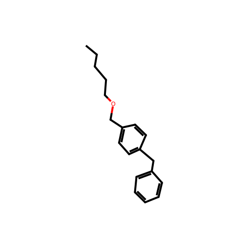 CCCCCOCc1ccc(Cc2ccccc2)cc1